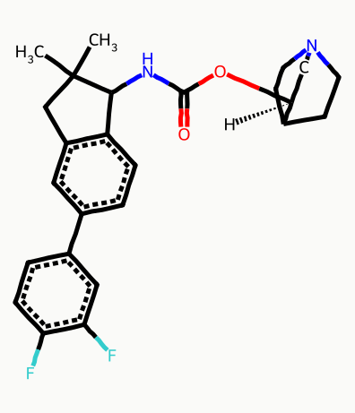 CC1(C)Cc2cc(-c3ccc(F)c(F)c3)ccc2C1NC(=O)O[C@H]1CN2CCC1CC2